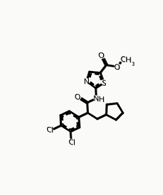 COC(=O)c1cnc(NC(=O)C(CC2CCCC2)c2ccc(Cl)c(Cl)c2)s1